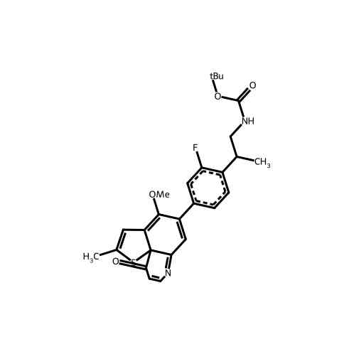 COC1=C2C=C(C)SC23C(=O)C=CN=C3C=C1c1ccc(C(C)CNC(=O)OC(C)(C)C)c(F)c1